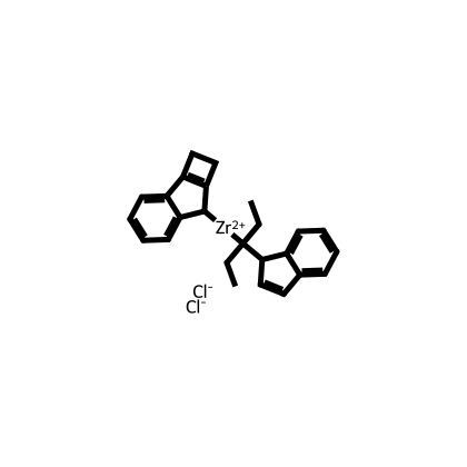 CC[C](CC)([Zr+2][CH]1C2=C(CC2)c2ccccc21)C1C=Cc2ccccc21.[Cl-].[Cl-]